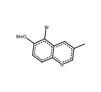 COc1ccc2ncc(C)cc2c1Br